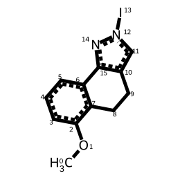 COc1cccc2c1CCc1cn(I)nc1-2